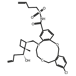 C=CCCS(=O)(=O)NC(=O)c1ccc2c(c1)N(C[C@@H]1CC[C@@]1(C)[C@H](O)CC=C)CCCCc1cc(Cl)ccc1CO2